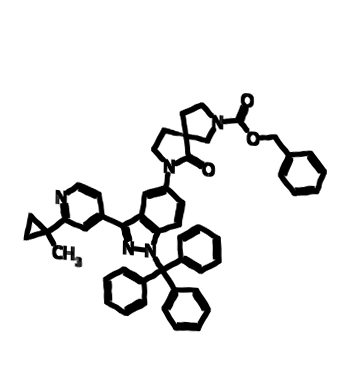 CC1(c2cc(-c3nn(C(c4ccccc4)(c4ccccc4)c4ccccc4)c4ccc(N5CC[C@]6(CCN(C(=O)OCc7ccccc7)C6)C5=O)cc34)ccn2)CC1